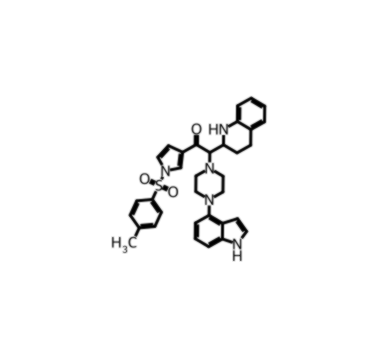 Cc1ccc(S(=O)(=O)n2ccc(C(=O)C(C3CCc4ccccc4N3)N3CCN(c4cccc5[nH]ccc45)CC3)c2)cc1